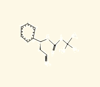 C=CC[C@H](NC(=O)OC(C)(C)C)c1c[c]ccc1